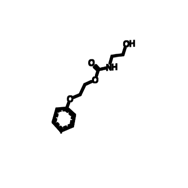 O=C(NCCO)OCCOc1cc[c]cc1